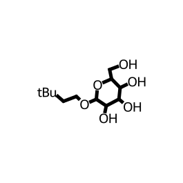 CC(C)(C)CCOC1OC(CO)C(O)C(O)C1O